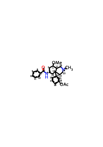 COC1C[C@@H](NC(=O)c2ccccc2)CC2(c3cccc(OC(C)=O)c3)CCN(C)CC12